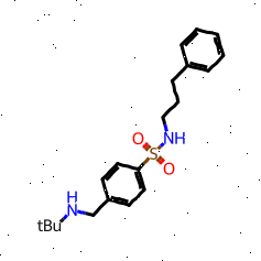 CC(C)(C)NCc1ccc(S(=O)(=O)NCCCc2ccccc2)cc1